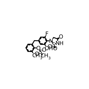 Cc1cccc(Cc2cc(O)c(N3CC(=O)NS3(=O)=O)c(F)c2)c1OS(C)(=O)=O